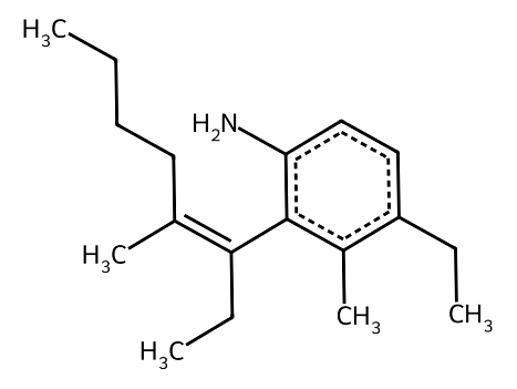 CCCC/C(C)=C(/CC)c1c(N)ccc(CC)c1C